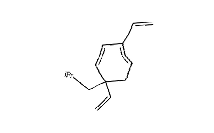 C=CC1=CCC(C=C)(CC(C)C)C=C1